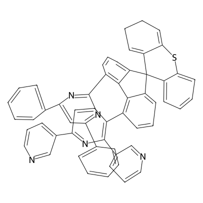 C1=C2Sc3ccccc3C3(C2=CCC1)c1cccc(-c2nc(-c4ccccc4)cc(-c4ccccc4)n2)c1-c1c(-c2ccc(-c4cccnc4)nc2-c2cccnc2)cccc13